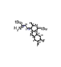 C=c1nc(C(C)(C)C)n2c(nc3cc(F)c(F)cc32)/c1=C/C=C(\N)C(C)(C)C